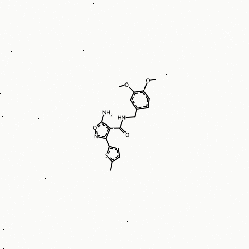 COc1ccc(CNC(=O)c2c(-c3ccc(C)s3)noc2N)cc1OC